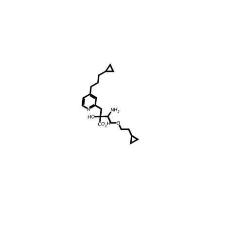 NC(COCCC1CC1)C(O)(Cc1cc(CCCC2CC2)ccn1)C(=O)O